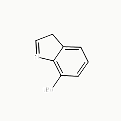 CC(C)(C)c1cccc2c1N=CC2